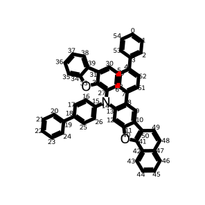 c1ccc(-c2ccc(-c3cc4c(cc3N(c3ccc(-c5ccccc5)cc3)c3cccc5c3oc3ccccc35)oc3c5ccccc5ccc43)cc2)cc1